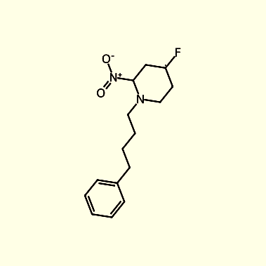 O=[N+]([O-])C1C[C](F)CCN1CCCCc1ccccc1